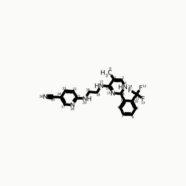 CC1=CNC(c2ccccc2C(F)(F)F)N=C1NCCNc1ccc(C#N)cn1